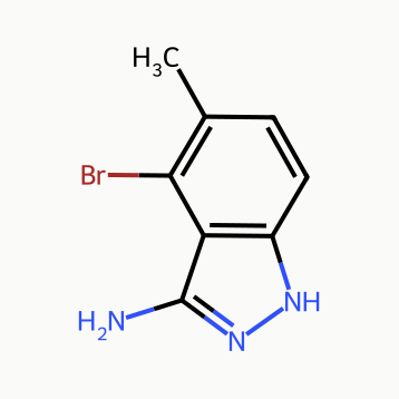 Cc1ccc2[nH]nc(N)c2c1Br